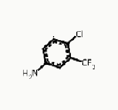 Nc1c[c]c(Cl)c(C(F)(F)F)c1